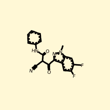 Cn1nc(C(=O)C(C#N)C(=O)Nc2ccccc2)c2cc(F)c(F)cc21